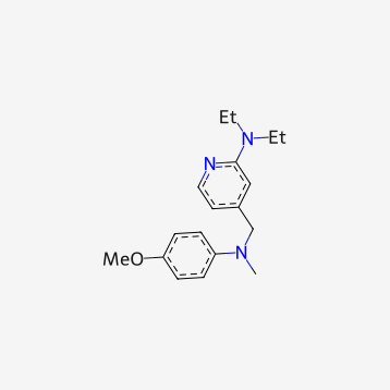 CCN(CC)c1cc(CN(C)c2ccc(OC)cc2)ccn1